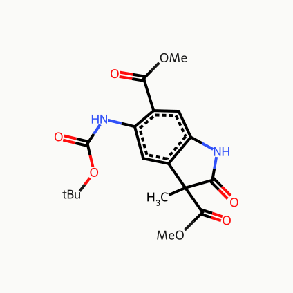 COC(=O)c1cc2c(cc1NC(=O)OC(C)(C)C)C(C)(C(=O)OC)C(=O)N2